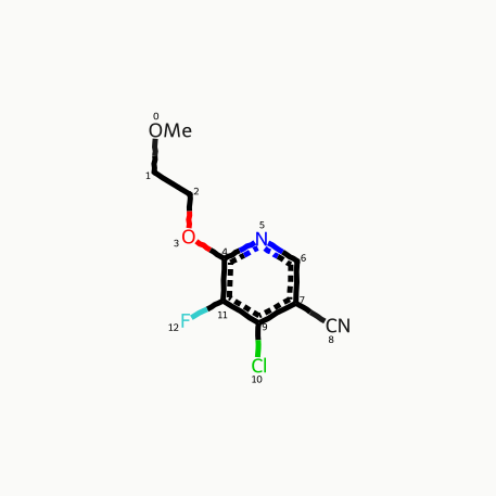 COCCOc1ncc(C#N)c(Cl)c1F